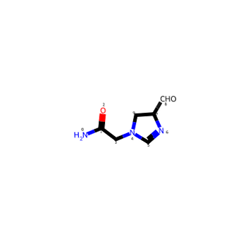 NC(=O)CN1C=NC(C=O)C1